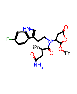 CCOC1OC(=O)CC1N(CCc1c[nH]c2cc(F)ccc12)C(=O)C(CC(N)=O)C(C)C